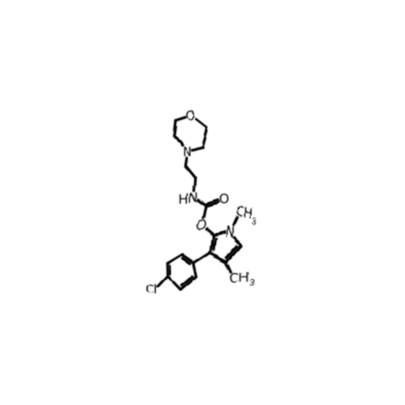 Cc1cn(C)c(OC(=O)NCCN2CCOCC2)c1-c1ccc(Cl)cc1